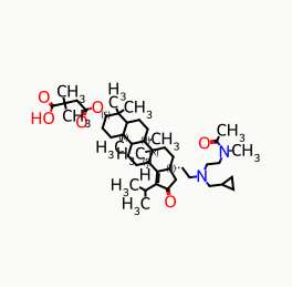 CC(=O)N(C)CCN(CC[C@@]12CC[C@]3(C)[C@H](CCC4[C@@]5(C)CC[C@H](OC(=O)CC(C)(C)C(=O)O)C(C)(C)C5CC[C@]43C)C1=C(C(C)C)C(=O)C2)CC1CC1